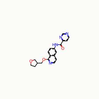 O=C(Nc1ccc2c(OCC3CCOC3)nccc2c1)c1ccncn1